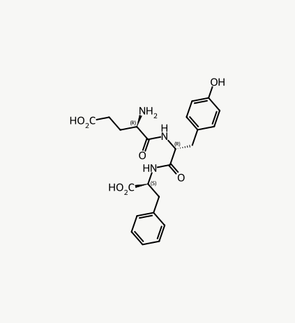 N[C@H](CCC(=O)O)C(=O)N[C@H](Cc1ccc(O)cc1)C(=O)N[C@@H](Cc1ccccc1)C(=O)O